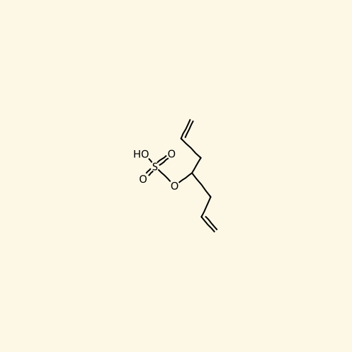 C=CCC(CC=C)OS(=O)(=O)O